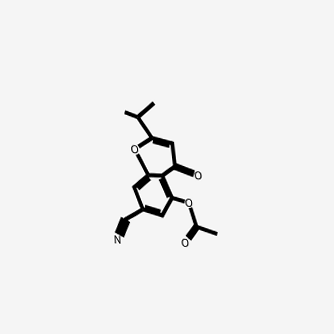 CC(=O)Oc1cc(C#N)cc2oc(C(C)C)cc(=O)c12